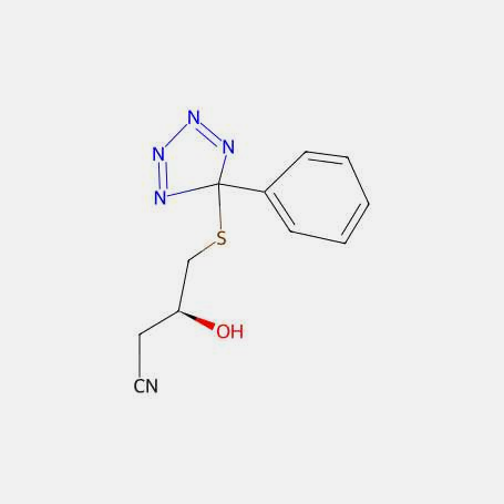 N#CC[C@H](O)CSC1(c2ccccc2)N=NN=N1